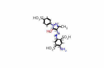 Cc1nn(-c2ccc(S(=O)(=O)O)cc2)c(O)c1N=Nc1cc(S(=O)(=O)O)c(N)cc1S(=O)(=O)O